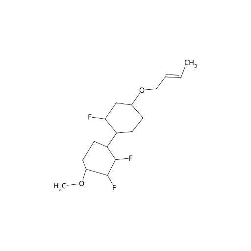 CC=CCOC1CCC(C2CCC(OC)C(F)C2F)C(F)C1